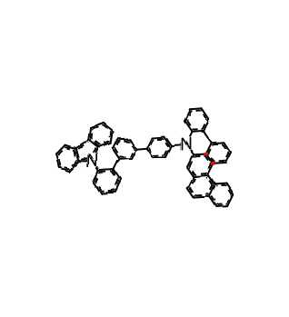 c1ccc(-c2ccccc2N(c2ccc(-c3cccc(-c4ccccc4-n4c5ccccc5c5ccccc54)c3)cc2)c2ccc3c(ccc4ccccc43)c2)cc1